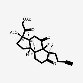 C#CCC[C@@]1(C)C(=O)CC[C@H]2[C@@H]3CC[C@](OC(C)=O)(C(=O)COC(C)=O)[C@@]3(C)CC(=O)C21F